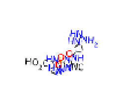 [C-]#[N+]c1nc(N)c(S(=O)(=O)NC(CC(=O)O)c2cccnc2)nc1NC(=O)c1cccc(NC(=N)N)c1